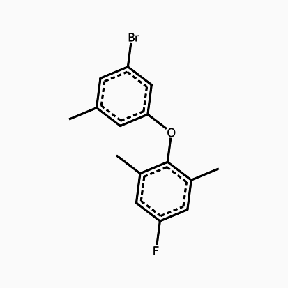 Cc1cc(Br)cc(Oc2c(C)cc(F)cc2C)c1